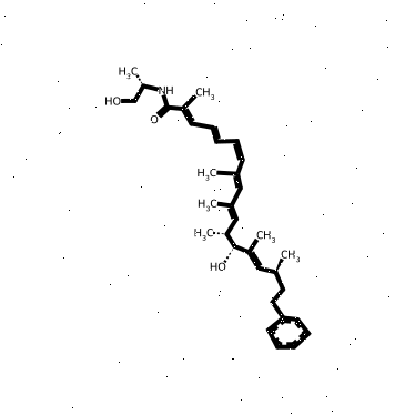 CC(/C=C\C=C\C=C(/C)C(=O)N[C@@H](C)CO)=C\C(C)=C\[C@@H](C)[C@@H](O)/C(C)=C/[C@@H](C)CCc1ccccc1